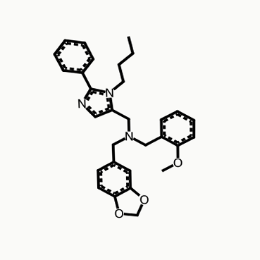 CCCCn1c(CN(Cc2ccc3c(c2)OCO3)Cc2ccccc2OC)cnc1-c1ccccc1